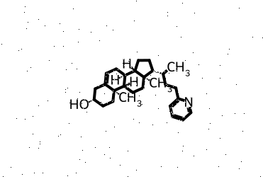 CC(CCc1ccccn1)[C@H]1CC[C@H]2[C@@H]3CC=C4C[C@@H](O)CC[C@]4(C)[C@H]3CC[C@]12C